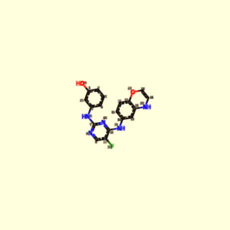 Oc1cccc(Nc2ncc(F)c(Nc3ccc4c(c3)NC=CO4)n2)c1